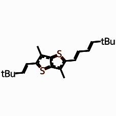 Cc1c(/C=C/C=C/C(C)(C)C)sc2c(C)c(/C=C/C(C)(C)C)sc12